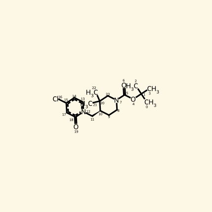 CC(C)(C)OC(=O)N1CC[C@@H](Cn2ccc(Cl)cc2=O)C(C)(C)C1